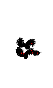 O=S(=O)(Oc1ccc([S+](c2ccccc2)c2ccc(OS(=O)(=O)c3c(F)c(F)c(F)c(F)c3F)cc2)cc1)c1c(F)c(F)c(F)c(F)c1F.O=S(=O)(Oc1ccc([S+](c2ccccc2)c2ccc(OS(=O)(=O)c3c(F)c(F)c(F)c(F)c3F)cc2)cc1)c1c(F)c(F)c(F)c(F)c1F.O=S(=O)([O-])C(F)(F)S(=O)(=O)[O-]